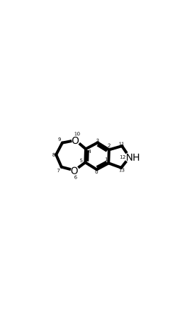 c1c2c(cc3c1OCCCO3)CNC2